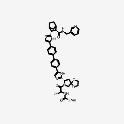 COC(=O)NC(C(=O)N1CC2(C[C@H]1c1ncc(-c3ccc(-c4ccc(-c5cnc([C@@H]6C7CCC(C7)[C@H]6C(=O)NCc6cccnc6)[nH]5)cc4)cc3)[nH]1)OCCO2)C(C)C